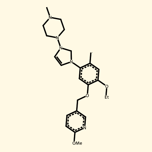 [CH2]c1cc(OCC)c(OCc2ccc(OC)nc2)cc1N1C=CN(N2CCN(C)CC2)C1